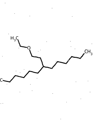 CCCCCCC(CCCCCC)CCOCC